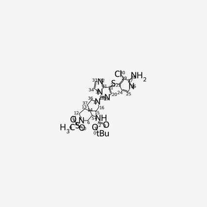 CC(C)(C)OC(=O)NC1CN(S(C)(=O)=O)CCC12CCN(c1ncc(Sc3ccnc(N)c3Cl)c3nccn13)CC2